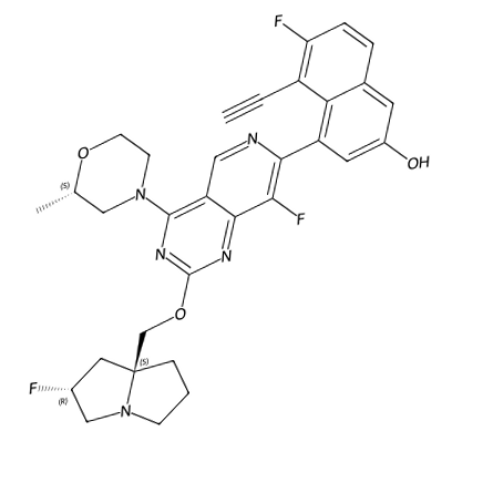 C#Cc1c(F)ccc2cc(O)cc(-c3ncc4c(N5CCO[C@@H](C)C5)nc(OC[C@@]56CCCN5C[C@H](F)C6)nc4c3F)c12